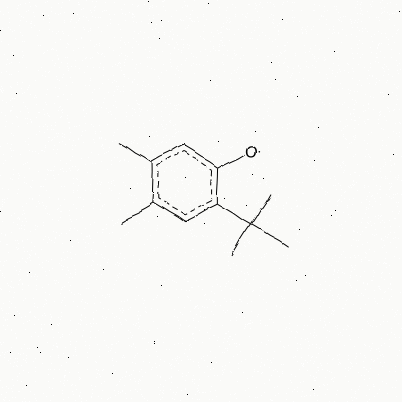 Cc1cc([O])c(C(C)(C)C)cc1C